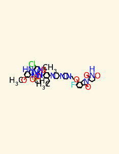 CCc1cc(Nc2ncc(Cl)c(Nc3ccc(OC)cc3NS(C)(=O)=O)n2)c(OC)cc1N1CCC(N2CCN(CCOc3c(F)ccc4c3CN(C3CCC(=O)NC3=O)C4=O)CC2)CC1